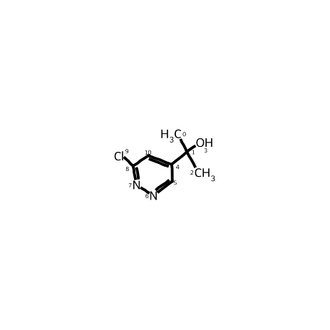 CC(C)(O)c1cnnc(Cl)c1